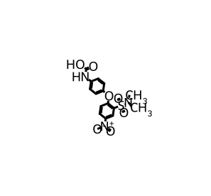 CN(C)S(=O)(=O)c1cc([N+](=O)[O-])ccc1Oc1ccc(NC(=O)O)cc1